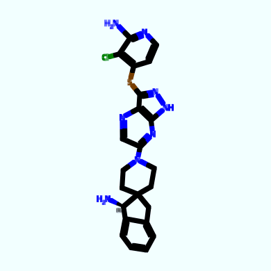 Nc1nccc(Sc2n[nH]c3nc(N4CCC5(CC4)Cc4ccccc4[C@H]5N)cnc23)c1Cl